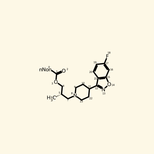 CCCCCCCCCC(=O)OC[C@@H](C)CN1CCC(c2noc3cc(F)ccc23)CC1